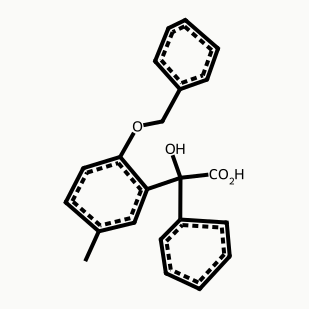 Cc1ccc(OCc2ccccc2)c(C(O)(C(=O)O)c2ccccc2)c1